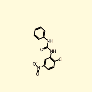 O=C(Nc1ccccc1)Nc1cc([N+](=O)[O-])ccc1Cl